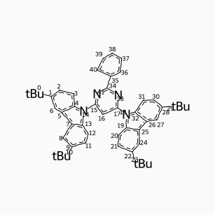 CC(C)(C)c1ccc2c(c1)c1cc(C(C)(C)C)ccc1n2-c1cc(-n2c3ccc(C(C)(C)C)cc3c3cc(C(C)(C)C)ccc32)nc(-c2ccccc2)n1